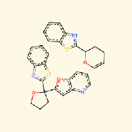 C1=COC(c2nc3ccccc3s2)CC1.c1ccc2sc(C3(c4cc5ncccc5o4)CCCO3)nc2c1